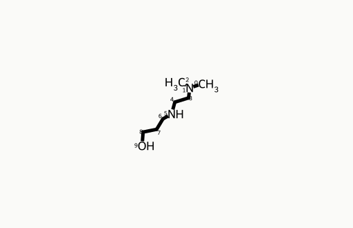 CN(C)CCNCCCO